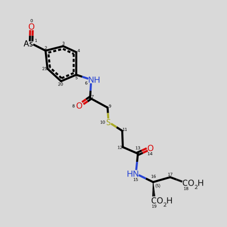 O=[As]c1ccc(NC(=O)CSCCC(=O)N[C@@H](CC(=O)O)C(=O)O)cc1